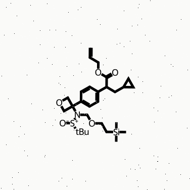 C=CCOC(=O)C(CC1CC1)c1ccc(C2(N(COCC[Si](C)(C)C)[S+]([O-])C(C)(C)C)COC2)cc1